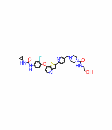 O=C(Nc1ccc(Oc2ccnc3cc(-c4ccc(CN5CCN(C(=O)NCCO)CC5)cn4)sc23)c(F)c1)NC1CC1